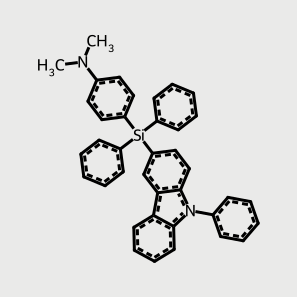 CN(C)c1ccc([Si](c2ccccc2)(c2ccccc2)c2ccc3c(c2)c2ccccc2n3-c2ccccc2)cc1